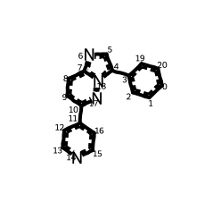 c1ccc(-c2cnc3ccc(-c4ccncc4)nn23)cc1